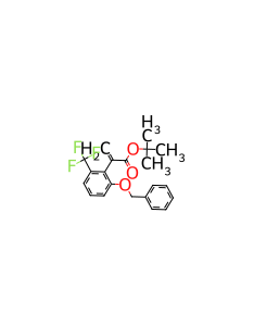 C=C(C(=O)OC(C)(C)C)c1c(OCc2ccccc2)cccc1C(F)(F)F